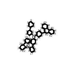 c1ccc(-c2cccc(N(c3ccc(-c4ccccc4-n4c5ccccc5c5ccccc54)cc3)c3ccc(-c4cc5ccccc5c5ccccc45)cc3)c2)cc1